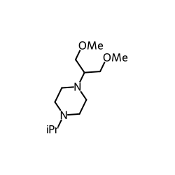 COCC(COC)N1CCN(C(C)C)CC1